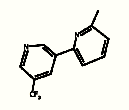 Cc1cccc(-c2cncc(C(F)(F)F)c2)n1